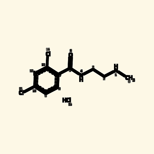 CNCCNC(=O)c1ccc(Cl)nc1Cl.Cl